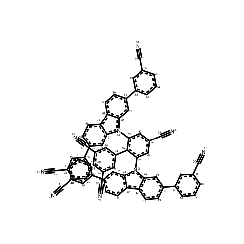 N#Cc1cccc(-c2ccc3c4ccc(-c5cccc(C#N)c5)cc4n(-c4cc(C#N)cc(-n5c6cc(-c7cccc(C#N)c7)ccc6c6ccc(-c7cccc(C#N)c7)cc65)c4-c4cc(C#N)cc(C#N)c4)c3c2)c1